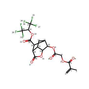 C=C(C)C(=O)OCC(=O)OC1C2CC3C1OC(=O)C3C2C(=O)OC(C(F)(F)F)C(F)(F)F